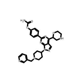 NC(=O)Oc1ccc(-c2nc(C3CNCCO3)c3cnn(C4CCN(Cc5cccnc5)CC4)c3n2)cc1